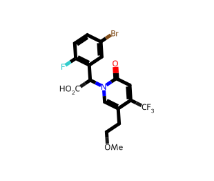 COCCc1cn(C(C(=O)O)c2cc(Br)ccc2F)c(=O)cc1C(F)(F)F